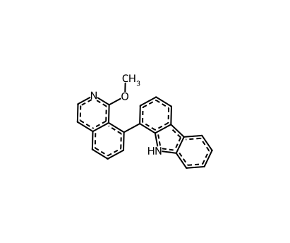 COc1nccc2cccc(-c3cccc4c3[nH]c3ccccc34)c12